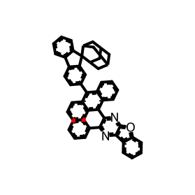 c1ccc(-c2nc3c(nc2-c2c4ccccc4c(-c4ccc5c(c4)C4(c6ccccc6-5)C5CC6CC(C5)CC4C6)c4ccccc24)oc2ccccc23)cc1